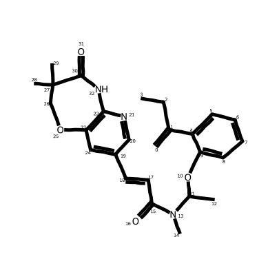 C=C(CC)c1ccccc1OC(C)N(C)C(=O)/C=C/c1cnc2c(c1)OCC(C)(C)C(=O)N2